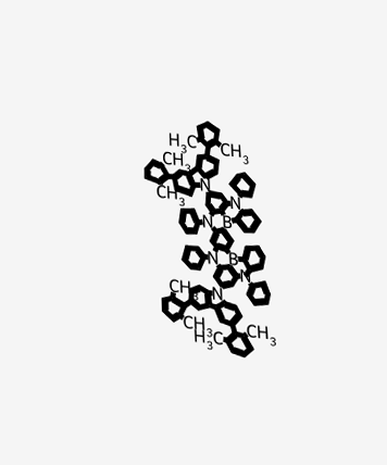 Cc1cccc(C)c1-c1ccc2c(c1)c1cc(-c3c(C)cccc3C)ccc1n2-c1cc2c3c(c1)N(c1ccccc1)c1cc4c(cc1B3c1ccccc1N2c1ccccc1)B1c2ccccc2N(c2ccccc2)c2cc(-n3c5ccc(-c6c(C)cccc6C)cc5c5cc(-c6c(C)cccc6C)ccc53)cc(c21)N4c1ccccc1